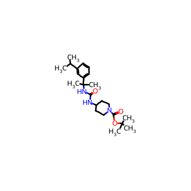 CC(C)c1cccc(C(C)(C)NC(=O)NC2CCN(C(=O)OC(C)(C)C)CC2)c1